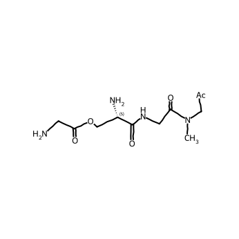 CC(=O)CN(C)C(=O)CNC(=O)[C@@H](N)COC(=O)CN